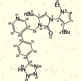 CCCCc1cn(-c2c(C(C)(C)C)ccn2CC)c(=O)n1Cc1cnccc1-c1ccc(-c2nnn[nH]2)cc1